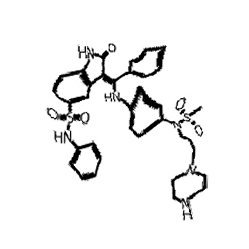 CS(=O)(=O)N(CCN1CCNCC1)c1ccc(NC(=C2C(=O)Nc3ccc(S(=O)(=O)Nc4ccccc4)cc32)c2ccccc2)cc1